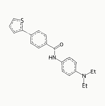 CCN(CC)c1ccc(NC(=O)c2ccc(-c3cccs3)cc2)cc1